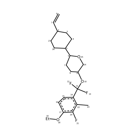 C=CC1CCC(C2CCC(OC(F)(F)c3ccc(OCC)c(F)c3C)CO2)CC1